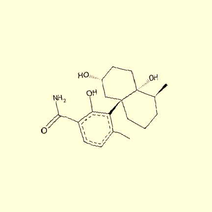 Cc1ccc(C(N)=O)c(O)c1[C@]12CCC[C@H](C)[C@]1(O)CC[C@@H](O)C2